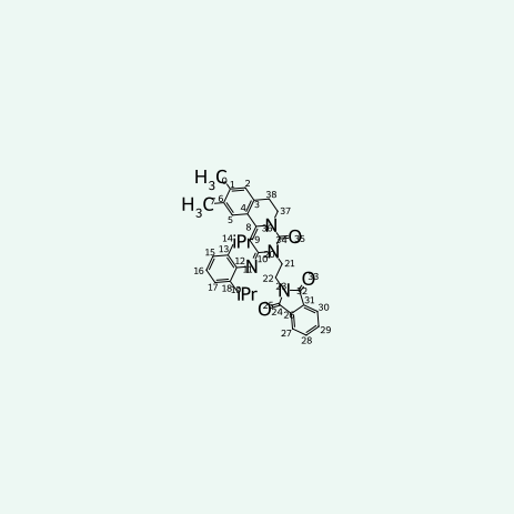 Cc1cc2c(cc1C)-c1c/c(=N\c3c(C(C)C)cccc3C(C)C)n(CCN3C(=O)c4ccccc4C3=O)c(=O)n1CC2